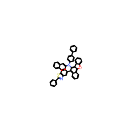 c1ccc(-c2ccc(N(c3ccc4ccccc4c3)c3c(-c4ccc5sc(-c6ccccc6)nc5c4)c4ccccc4c4oc5ccccc5c34)cc2)cc1